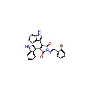 O=C1C(c2c[nH]c3ccccc23)=C(c2c[nH]c3ccccc23)C(=O)N1/N=C/c1ccccc1Br